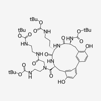 CC(C)(C)OC(=O)NCCC[C@@H]1NC(=O)[C@@H](NC(=O)OC(C)(C)C)Cc2cc(ccc2O)-c2ccc(O)c(c2)C[C@@H](C(=O)N(CCNC(=O)OC(C)(C)C)CC(=O)NCCNC(=O)OC(C)(C)C)NC1=O